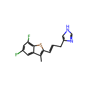 Cc1c(/C=C/Cc2c[nH]cn2)sc2c(F)cc(F)cc12